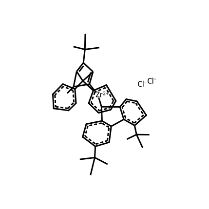 CC1[C]([Zr+2][CH]2c3ccc(C(C)(C)C)cc3-c3c2cccc3C(C)(C)C)=C2C(C(C)(C)C)=C1C2(c1ccccc1)c1ccccc1.[Cl-].[Cl-]